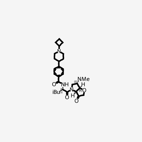 CC[C@H](C)[C@H](NC(=O)c1ccc(C2CCN(C3CCC3)CC2)cc1)C(=O)N1C[C@H](NC)[C@H]2OCC(=O)[C@H]21